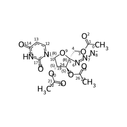 CC(=O)OC[C@@]1(N=[N+]=[N-])O[C@@H](n2ccc(=O)[nH]c2=O)[C@@H](OC(C)=O)[C@@H]1OC(C)=O